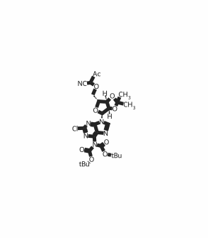 CC(=O)C(C#N)OC[C@H]1O[C@@H](n2cnc3c(N(C(=O)OC(C)(C)C)C(=O)OC(C)(C)C)nc(Cl)nc32)[C@@H]2OC(C)(C)O[C@@H]21